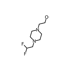 [O]CCN1CCN(CC(F)F)CC1